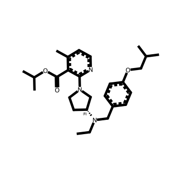 CCN(Cc1ccc(OCC(C)C)cc1)[C@@H]1CCN(c2nccc(C)c2C(=O)OC(C)C)C1